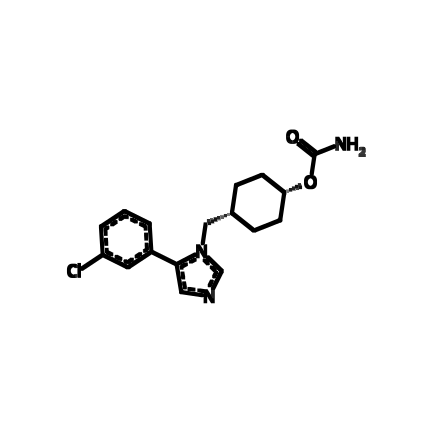 NC(=O)O[C@H]1CC[C@@H](Cn2cncc2-c2cccc(Cl)c2)CC1